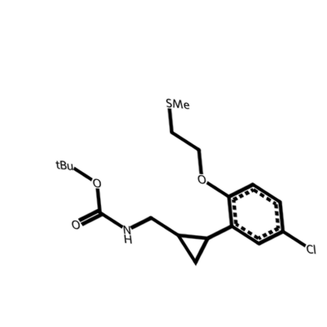 CSCCOc1ccc(Cl)cc1C1CC1CNC(=O)OC(C)(C)C